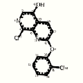 Oc1cnc(Cl)c2nc(Oc3ccccc3Cl)ccc12